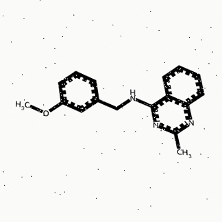 COc1cccc(CNc2nc(C)nc3ccccc23)c1